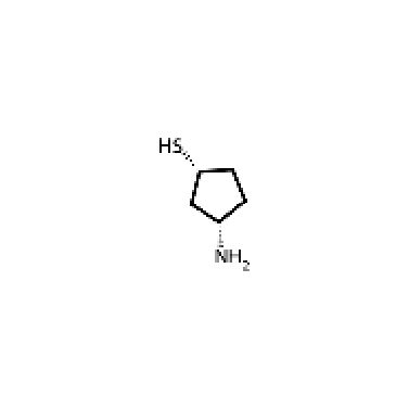 N[C@H]1CC[C@@H](S)C1